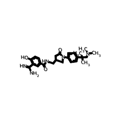 CN(C)CC(C)(C)c1ccc(N2CC(CNC(=O)c3ccc(O)c(C(=N)N)c3)CC2=O)cc1